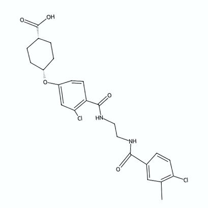 Cc1cc(C(=O)NCCNC(=O)c2ccc(O[C@H]3CC[C@@H](C(=O)O)CC3)cc2Cl)ccc1Cl